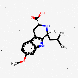 COc1ccc2c3c([nH]c2c1)[C@](C)(CC(C)C)N[C@@H](C(=O)O)C3